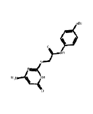 CCCCc1ccc(NC(=O)CSc2nc(N)cc(=O)[nH]2)cc1